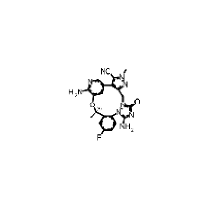 C[C@H]1Oc2cc(cnc2N)-c2c(nn(C)c2C#N)Cn2c(=O)nc(N)n2-c2ccc(F)cc21